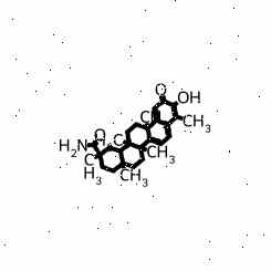 CC1=C(O)C(=O)C=C2C1=CC=C1C2(C)CCC2(C)C3CC(C)(C(N)=O)CCC3(C)CCC12C